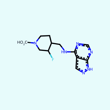 O=C(O)N1CCC(CNc2ncnc3[nH]ncc23)C(F)C1